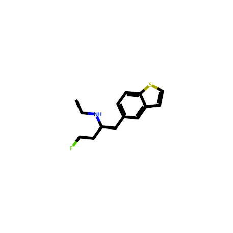 CCNC(CCF)Cc1ccc2sccc2c1